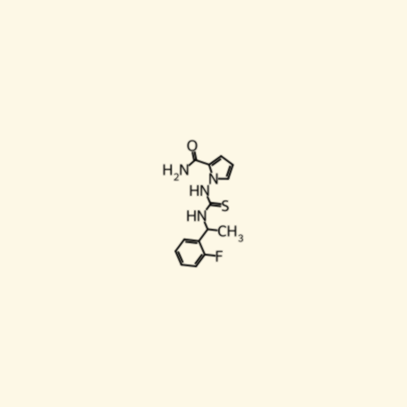 CC(NC(=S)Nn1cccc1C(N)=O)c1ccccc1F